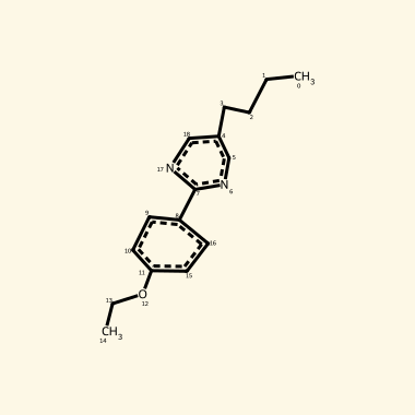 CCCCc1cnc(-c2ccc(OCC)cc2)nc1